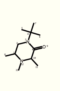 CC1CN(C(C)(C)C)C(=O)C(C)N1C